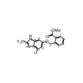 COC(=O)c1ccccc1COc1cc(C)c2nc(C(F)(F)F)[nH]c2c1